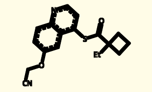 CCC1(C(=O)Sc2ccnc3ccc(OCC#N)cc23)CCC1